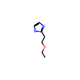 CCOCCC1=NC=C[N]1